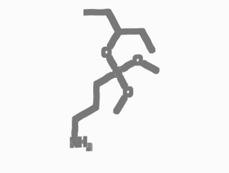 CCC(CC)O[Si](CCCN)(OC)OC